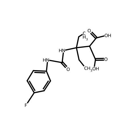 CCC(CC)(NC(=O)Nc1ccc(F)cc1)C(C(=O)O)C(=O)O